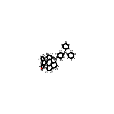 c1ccc(N(c2ccccc2)c2ccc(-n3c4cccc5c4c4c6c(cccc6ccc43)C53c4ccccc4-c4ccccc43)cc2)cc1